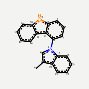 Cc1[c]n(-c2cccc3[pH]c4ccccc4c23)c2ccccc12